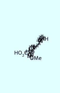 COc1ncc([C@H](CC(=O)O)N2CCn3cc(CCCc4ccc5c(n4)NCCC5)cc3C2=O)cn1